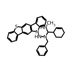 CNC(C1C=CCCC1)N(Cc1ccccc1)Nn1c2ccccc2c2cc3sc4ccccc4c3cc21